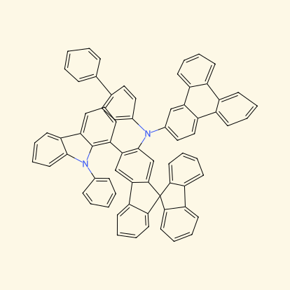 c1ccc(-c2ccc(N(c3ccc4c5ccccc5c5ccccc5c4c3)c3cc4c(cc3-c3cccc5c6ccccc6n(-c6ccccc6)c35)-c3ccccc3C43c4ccccc4-c4ccccc43)cc2)cc1